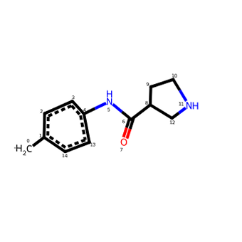 [CH2]c1ccc(NC(=O)C2CCNC2)cc1